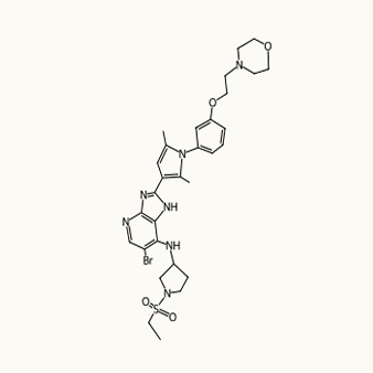 CCS(=O)(=O)N1CCC(Nc2c(Br)cnc3nc(-c4cc(C)n(-c5cccc(OCCN6CCOCC6)c5)c4C)[nH]c23)C1